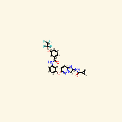 O=C(Nc1cccc(OC2=NN3CC(NC(=O)C4CC4)N=C3C=C2)c1)c1cccc(OC(F)(F)C(F)F)c1